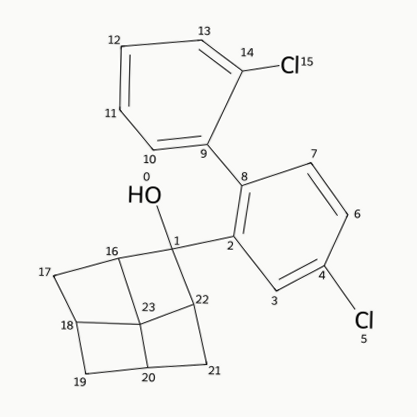 OC1(c2cc(Cl)ccc2-c2ccccc2Cl)C2CC3CC4CC1C342